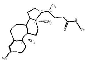 CC(C)NC(=O)CC[C@@H](C)[C@H]1CCC2C3CCC4CC(O)CC[C@]4(C)C3CC[C@@]21C